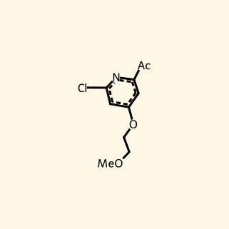 COCCOc1cc(Cl)nc(C(C)=O)c1